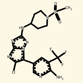 CS(=O)(=O)N1CCC(Nc2nn3c(-c4cnc(N)c(C(F)(F)F)c4)c(Cl)nc3s2)CC1